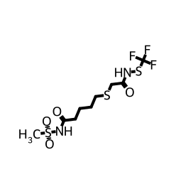 CS(=O)(=O)NC(=O)CCCCSCC(=O)NSC(F)(F)F